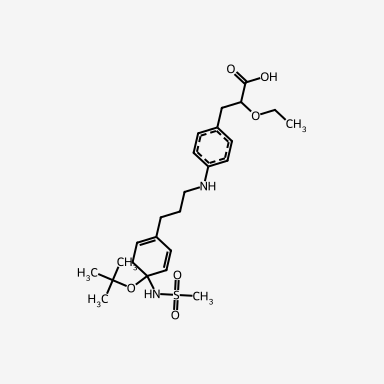 CCOC(Cc1ccc(NCCCC2=CCC(NS(C)(=O)=O)(OC(C)(C)C)C=C2)cc1)C(=O)O